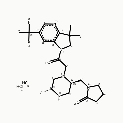 C[C@@H]1CN(CC(=O)N2CC(C)(C)c3ncc(C(C)(F)F)cc32)[C@@H](CN2CCCC2=O)CN1.Cl.Cl